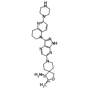 C[C@@H]1OCC2(CCN(c3cnc4c(N5CCCc6nc(N7CCNCC7)ccc65)n[nH]c4n3)CC2)[C@@H]1N